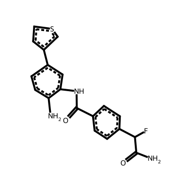 NC(=O)C(F)c1ccc(C(=O)Nc2cc(-c3ccsc3)ccc2N)cc1